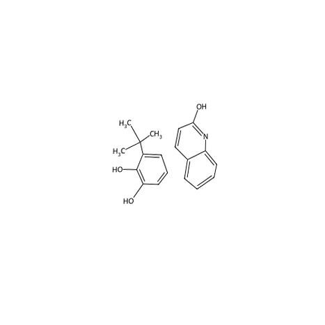 CC(C)(C)c1cccc(O)c1O.Oc1ccc2ccccc2n1